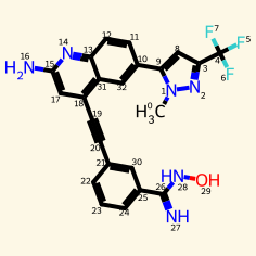 Cn1nc(C(F)(F)F)cc1-c1ccc2nc(N)cc(C#Cc3cccc(C(=N)NO)c3)c2c1